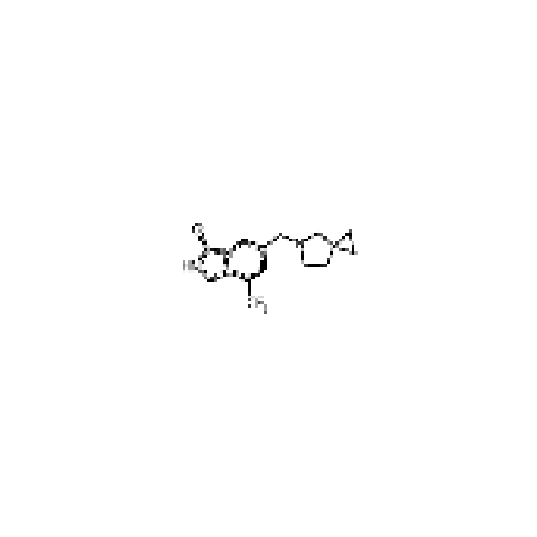 O=c1[nH]cc2c(C(F)(F)F)cc(CN3CCC4(CC4)C3)cn12